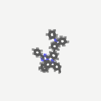 Cc1ccc2c(c1)c1cc(C(F)(F)F)ccc1n2-c1ccc(-c2ccc3c(c2)c2ccccc2n3-c2ccccc2)cc1-c1nc(-c2ccccc2)nc(-c2ccccc2)n1